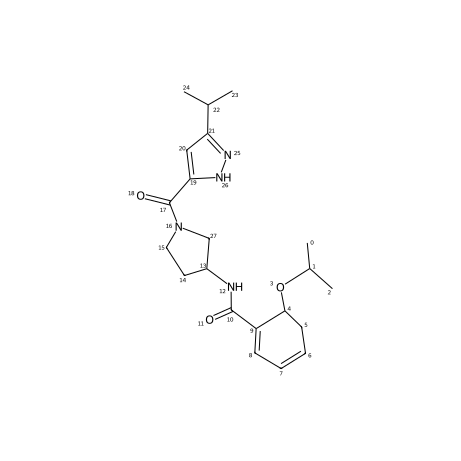 CC(C)OC1CC=CC=C1C(=O)NC1CCN(C(=O)c2cc(C(C)C)n[nH]2)C1